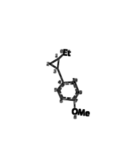 CCC1CC1c1ccc(OC)cc1